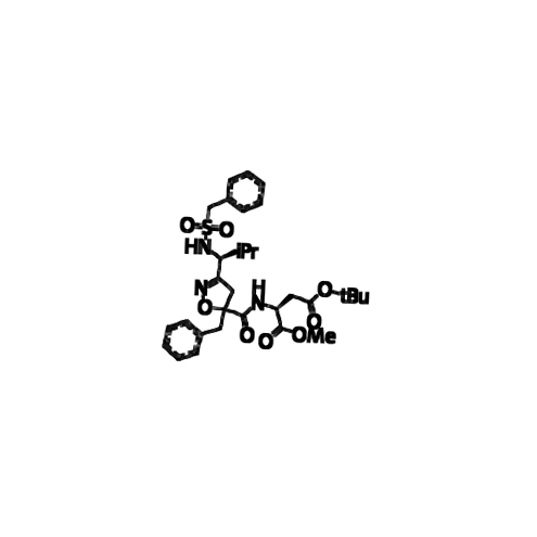 COC(=O)[C@H](CC(=O)OC(C)(C)C)NC(=O)C1(Cc2ccccc2)CC([C@@H](NS(=O)(=O)Cc2ccccc2)C(C)C)=NO1